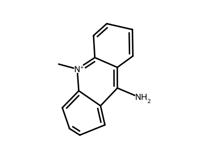 C[n+]1c2ccccc2c(N)c2ccccc21